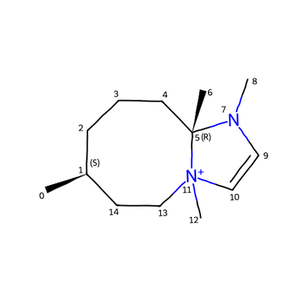 C[C@H]1CCC[C@]2(C)N(C)C=C[N+]2(C)CC1